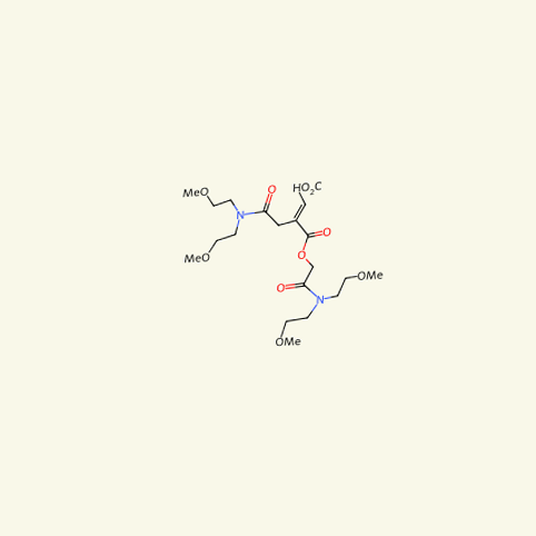 COCCN(CCOC)C(=O)COC(=O)C(=CC(=O)O)CC(=O)N(CCOC)CCOC